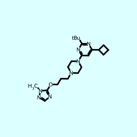 Cn1ncnc1OCCCN1CCN(c2cc(C3CCC3)nc(C(C)(C)C)n2)CC1